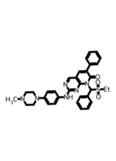 CCS(=O)(=O)C(c1ccccc1)n1c(=O)c(-c2ccccc2)cc2cnc(Nc3ccc(N4CCN(C)CC4)cc3)nc21